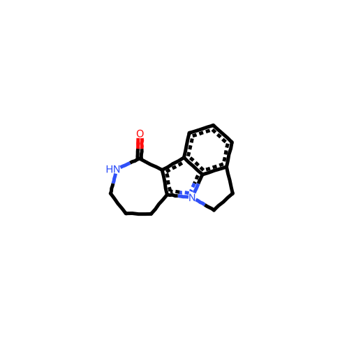 O=C1NCCCc2c1c1cccc3c1n2CC3